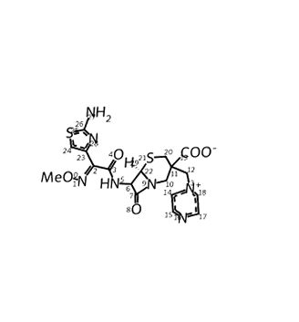 CON=C(C(=O)NC1C(=O)N2CC(C[n+]3ccncc3)(C(=O)[O-])CS[C@H]12)c1csc(N)n1